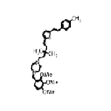 COc1ccc(CN2CCN(CCC(C)(C)CCc3ccc(CCc4ccc(C)cc4)s3)CC2)c(OC)c1OC